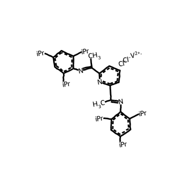 CC(=Nc1c(C(C)C)cc(C(C)C)cc1C(C)C)c1cccc(C(C)=Nc2c(C(C)C)cc(C(C)C)cc2C(C)C)n1.[Cl-].[Cl-].[V+2]